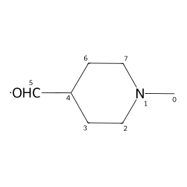 CN1CCC([C]=O)CC1